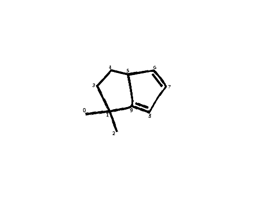 CC1(C)CCC2C=CC=C21